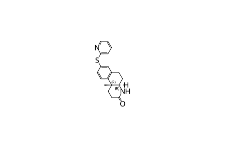 C[C@]12CCC(=O)N[C@@H]1CCc1cc(Sc3ccccn3)ccc12